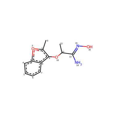 Cc1oc2ccccc2c1OC(C)C(N)=NO